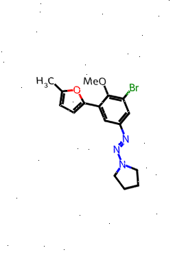 COc1c(Br)cc(N=NN2CCCC2)cc1-c1ccc(C)o1